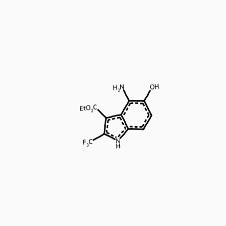 CCOC(=O)c1c(C(F)(F)F)[nH]c2ccc(O)c(N)c12